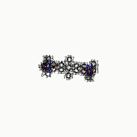 CC1(C)CCC2c3cc(-c4ccc5c6c(-c7ccccc7)c7c8ccc(-c9ccc%10c(c9)C9CCC(C)(C)C9(C)N%10c9ccccc9)c9c(-c%10ccc%11c(c%10)C%10CCC(C)(C)C%10(C)N%11c%10ccccc%10)ccc(c7c(-c7ccccc7)c6c6ccc(-c7ccc%10c(c7)C7CCC(C)(C)C7(C)N%10c7ccccc7)c4c56)c98)ccc3N(c3ccccc3)C21C